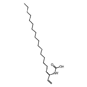 C=CC(CCCCCCCCCCCCCCCCC)NC(=O)O